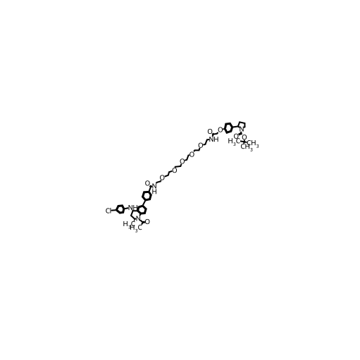 CC(=O)N1c2ccc(-c3ccc(C(=O)NCCOCCOCCOCCOCCOCCNC(=O)COc4ccc(C5CCCN5C(=O)OC(C)(C)C)cc4)cc3)cc2[C@H](Nc2ccc(Cl)cc2)C[C@@H]1C